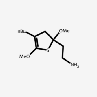 CCCCC1=C(OC)SC(CCN)(OC)C1